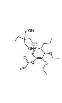 C=CC(=O)Oc1ccc(CCC)c(OCC)c1OCC.CCC(CO)(CO)CO